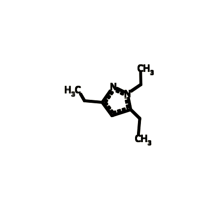 CCc1cc(CC)n(CC)n1